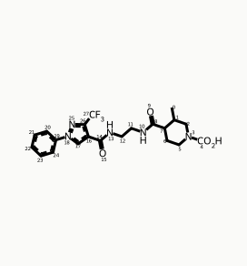 CC1CN(C(=O)O)CCC1C(=O)NCCNC(=O)c1cn(-c2ccccc2)nc1C(F)(F)F